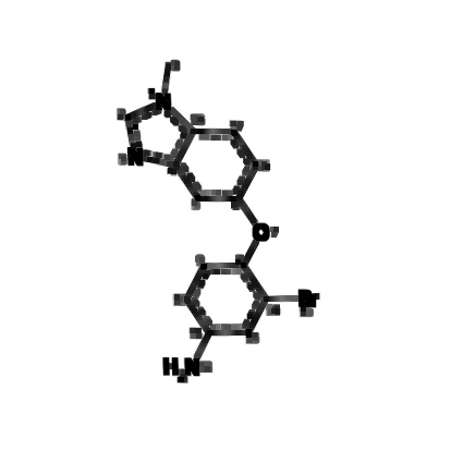 Cn1cnc2cc(Oc3ccc(N)cc3Br)ccc21